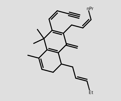 C#C/C=C\C1=C(C/C=C\CCC)C(=C)C2=C(C(C)=CCC2CC=CCC)C1(C)C